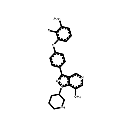 COc1cccc(Oc2ccc(-c3nn(C4CCCNC4)c4c(OC)cncc34)cc2)c1F